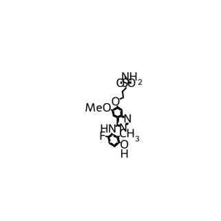 COc1cc2c(Nc3c(F)ccc(O)c3C)ncnc2cc1OCCCS(N)(=O)=O